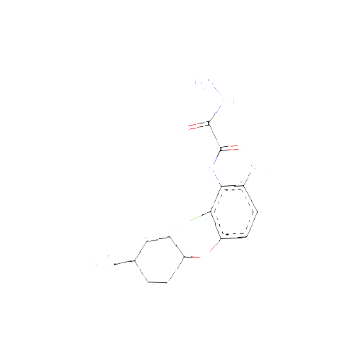 NNC(=O)C(=O)Nc1c([N+](=O)[O-])ccc(OC2CCC(C(=O)O)CC2)c1F